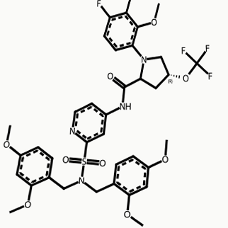 COc1ccc(CN(Cc2ccc(OC)cc2OC)S(=O)(=O)c2cc(NC(=O)C3C[C@@H](OC(F)(F)F)CN3c3ccc(F)c(F)c3OC)ccn2)c(OC)c1